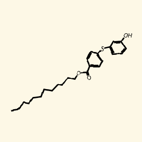 CCCCCCCCCCCCOC(=O)c1ccc(Sc2cccc(O)c2)cc1